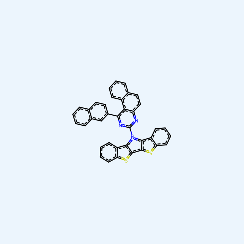 c1ccc2cc(-c3nc(-n4c5c6ccccc6sc5c5sc6ccccc6c54)nc4ccc5ccccc5c34)ccc2c1